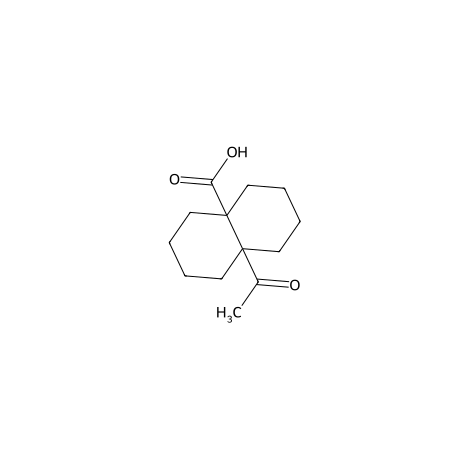 CC(=O)C12CCCCC1(C(=O)O)CCCC2